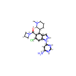 CN1CCCC(c2c(C(=O)N3CCC3)c(Cl)cc3c2cnn3-c2cc(N)ncn2)C1